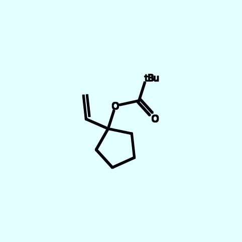 C=CC1(OC(=O)C(C)(C)C)CCCC1